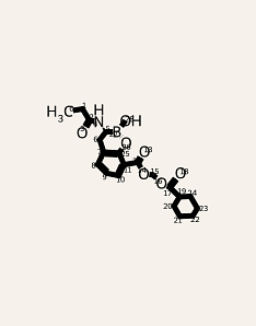 CCC(=O)N[C@H]1Cc2cccc(C(=O)OCOC(=O)C3CCCCC3)c2OB1O